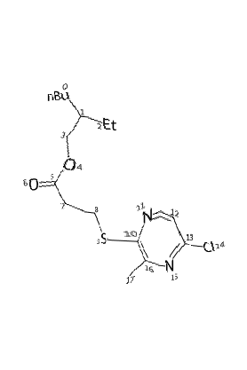 CCCCC(CC)COC(=O)CCSc1ncc(Cl)nc1C